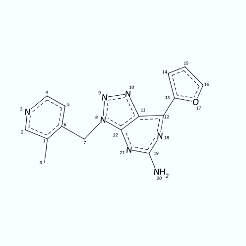 Cc1cnccc1Cn1nnc2c(-c3ccco3)nc(N)nc21